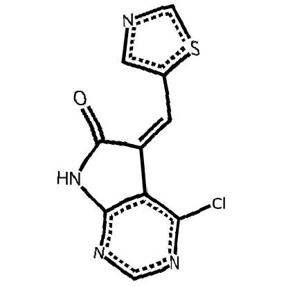 O=C1Nc2ncnc(Cl)c2C1=Cc1cncs1